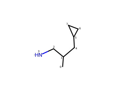 CC(C[NH])CC1CC1